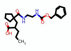 CCCC(CC1(C(=O)NCCNC(=O)OCc2ccccc2)CCCC1)C(=O)O